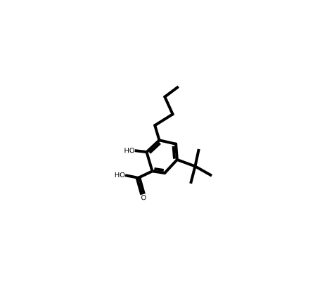 CCCCc1cc(C(C)(C)C)cc(C(=O)O)c1O